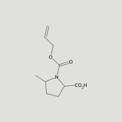 C=CCOC(=O)N1C(C)CCC1C(=O)O